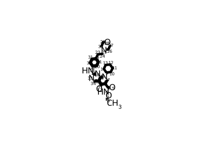 CCONC(=O)c1cn(C2CCCCC2)c2nc(Nc3ccc(CCN4CCOCC4)cc3)ncc2c1=O